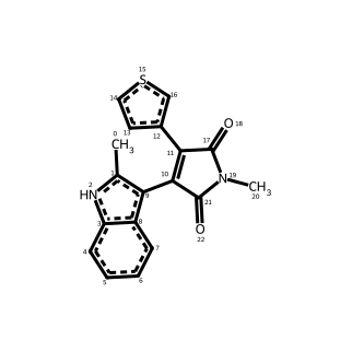 Cc1[nH]c2ccccc2c1C1=C(c2ccsc2)C(=O)N(C)C1=O